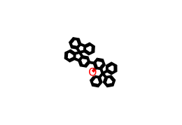 c1ccc(C2(c3ccccc3)c3ccccc3Oc3c(-c4ccc5c(c4)C4(c6ccccc6-c6ccccc64)c4ccccc4-5)cccc32)cc1